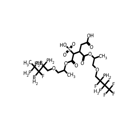 BC(P)(COCC(C)OC(=O)C(C(CC(=O)O)C(=O)OC(C)COCC(F)(P)C(P)(I)C(F)(F)F)S(=O)(=O)O)C(B)(F)C(C)(P)P